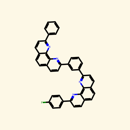 Fc1ccc(-c2ccc3ccc4ccc(-c5cccc(-c6ccc7ccc8ccc(-c9ccccc9)nc8c7n6)c5)nc4c3n2)cc1